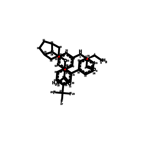 NC[C@@H](C=O)Nc1cc(C(N)=O)nc(N2C3CCC2CC(Oc2ccc(C(F)(F)F)cc2-c2ccncc2)C3)n1